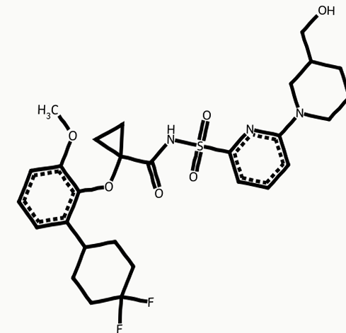 COc1cccc(C2CCC(F)(F)CC2)c1OC1(C(=O)NS(=O)(=O)c2cccc(N3CCCC(CO)C3)n2)CC1